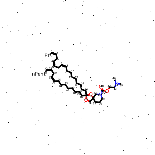 CC/C=C\C/C=C\C/C=C\CCCCCCCCC1(CCCCCCCC/C=C\C/C=C\CCCCC)OCC2(CCCN(C(=O)OCCN(C)C)C2)O1